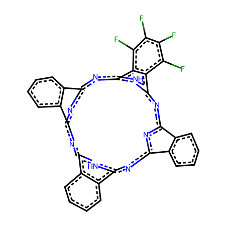 Fc1c(F)c(F)c2c3nc4nc(nc5[nH]c(nc6nc(nc([nH]3)c2c1F)-c1ccccc1-6)c1ccccc51)-c1ccccc1-4